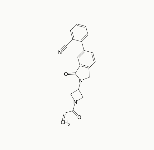 C=CC(=O)N1CC(N2Cc3ccc(-c4ccccc4C#N)cc3C2=O)C1